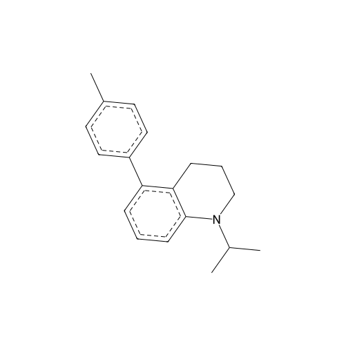 Cc1ccc(-c2cccc3c2CCCN3C(C)C)cc1